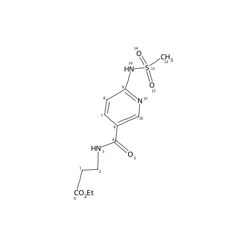 CCOC(=O)CCNC(=O)c1ccc(NS(C)(=O)=O)nc1